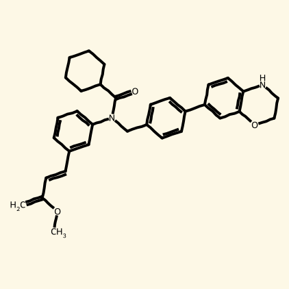 C=C(/C=C/c1cccc(N(Cc2ccc(-c3ccc4c(c3)OCCN4)cc2)C(=O)C2CCCCC2)c1)OC